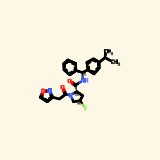 CC(C)c1ccc([C@@H](NC(=O)[C@@H]2C[C@@H](F)CN2C(=O)Cc2ccon2)c2ccccc2)cc1